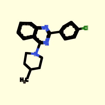 CC1CCN(c2nc(-c3ccc(Cl)cc3)nc3ccccc23)CC1